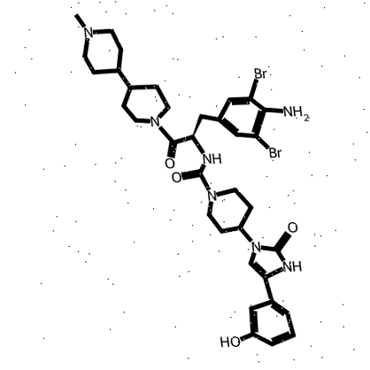 CN1CCC(C2CCN(C(=O)[C@@H](Cc3cc(Br)c(N)c(Br)c3)NC(=O)N3CCC(n4cc(-c5cccc(O)c5)[nH]c4=O)CC3)CC2)CC1